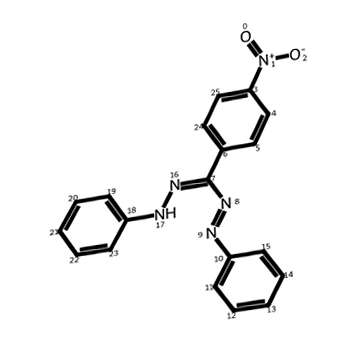 O=[N+]([O-])c1ccc(C(N=Nc2ccccc2)=NNc2ccccc2)cc1